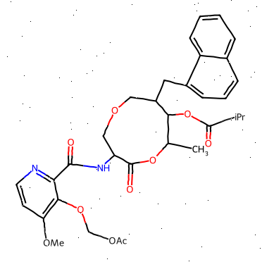 COc1ccnc(C(=O)NC2COCC(Cc3cccc4ccccc34)C(OC(=O)C(C)C)C(C)OC2=O)c1OCOC(C)=O